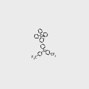 FC(F)(F)c1ccc([S+](c2ccccc2)c2ccc(C(F)(F)F)cc2)cc1.c1cc[c]([Ga-]([c]2ccccc2)([c]2ccccc2)[c]2ccccc2)cc1